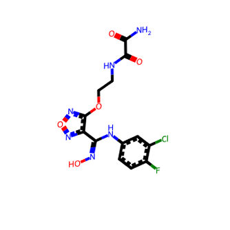 NC(=O)C(=O)NCCOc1nonc1/C(=N\O)Nc1ccc(F)c(Cl)c1